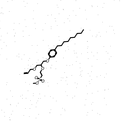 C=CCOCC(COc1ccc(CCCCCCCCC)cc1)OCCS(=O)(=O)OC